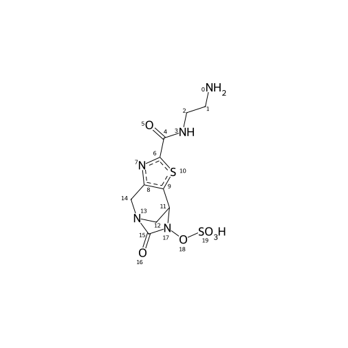 NCCNC(=O)c1nc2c(s1)C1CN(C2)C(=O)N1OS(=O)(=O)O